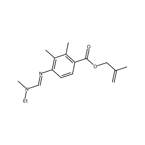 C=C(C)COC(=O)c1ccc(/N=C/N(C)CC)c(C)c1C